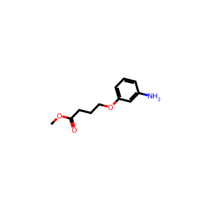 COC(=O)CCCOc1cccc(N)c1